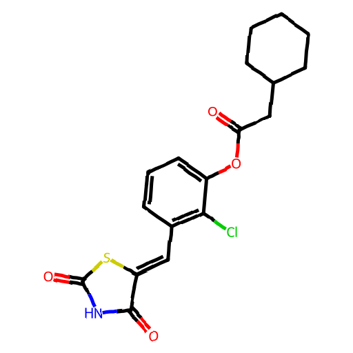 O=C(CC1CCCCC1)Oc1cccc(/C=C2\SC(=O)NC2=O)c1Cl